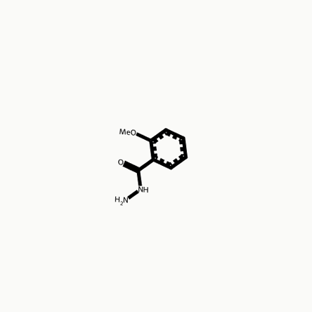 COc1ccccc1C(=O)NN